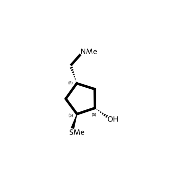 CNC[C@H]1C[C@H](SC)[C@@H](O)C1